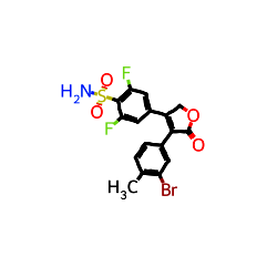 Cc1ccc(C2=C(c3cc(F)c(S(N)(=O)=O)c(F)c3)COC2=O)cc1Br